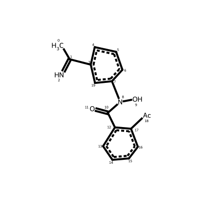 CC(=N)c1cccc(N(O)C(=O)c2ccccc2C(C)=O)c1